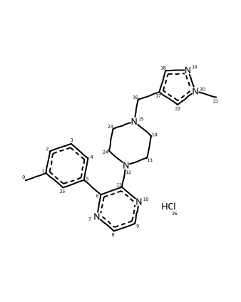 Cc1cccc(-c2nccnc2N2CCN(Cc3cnn(C)c3)CC2)c1.Cl